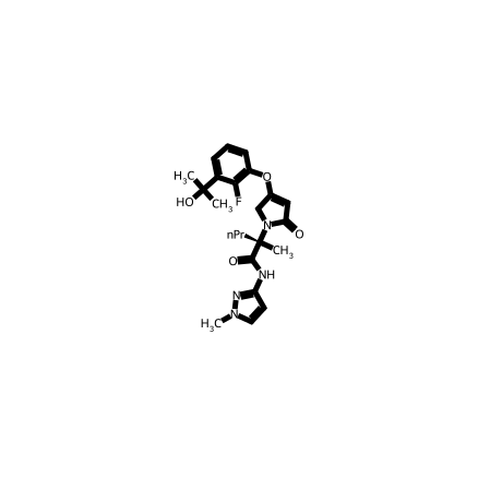 CCC[C@@](C)(C(=O)Nc1ccn(C)n1)N1CC(Oc2cccc(C(C)(C)O)c2F)=CC1=O